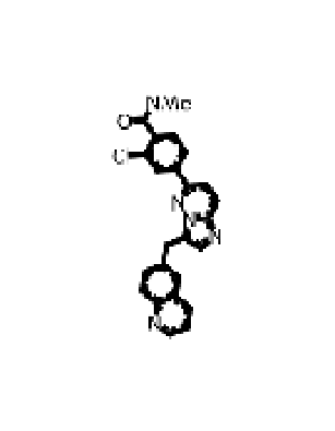 CNC(=O)c1ccc(-c2ccc3ncc(Cc4ccc5ncccc5c4)n3n2)cc1Cl